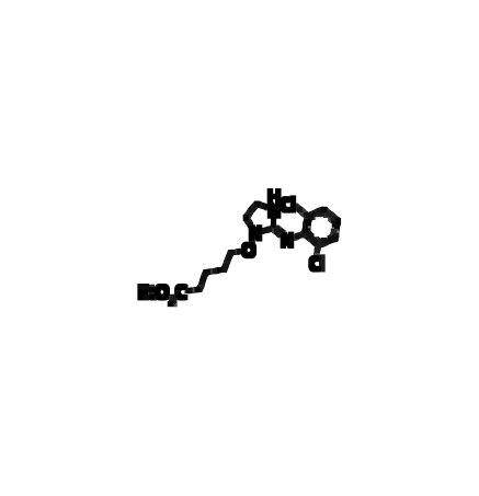 CCOC(=O)CCCCON1CCN/C1=N\c1c(Cl)cccc1Cl